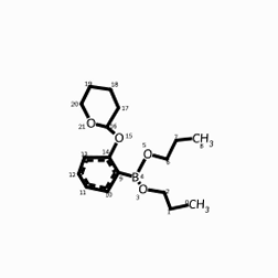 CCCOB(OCCC)c1ccccc1OC1CCCCO1